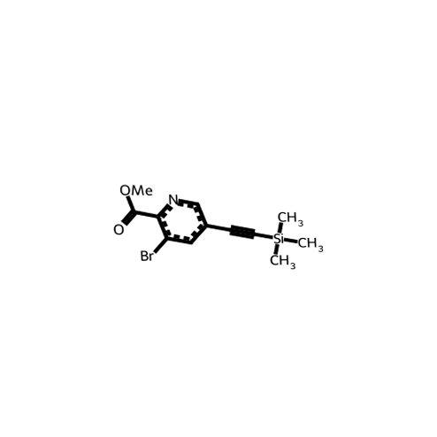 COC(=O)c1ncc(C#C[Si](C)(C)C)cc1Br